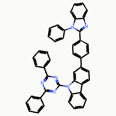 c1ccc(-c2nc(-c3ccccc3)nc(-n3c4ccccc4c4ccc(-c5ccc(-c6nc7ccccc7n6-c6ccccc6)cc5)cc43)n2)cc1